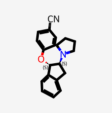 N#Cc1ccc(O[C@H]2c3ccccc3C[C@@H]2N2CCCC2)cc1